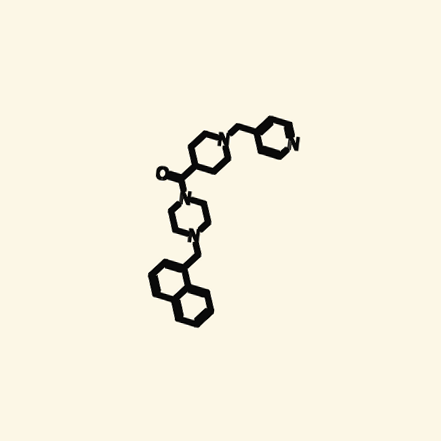 O=C(C1CCN(Cc2ccncc2)CC1)N1CCN(Cc2cccc3ccccc23)CC1